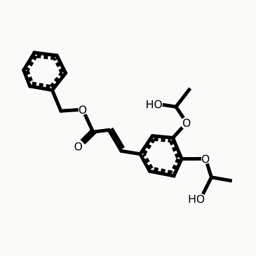 CC(O)Oc1ccc(/C=C/C(=O)OCc2ccccc2)cc1OC(C)O